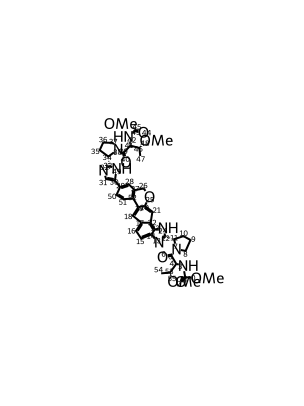 COC(=O)NC(C(=O)N1CCC[C@H]1c1nc2ccc3cc4c(cc3c2[nH]1)OCc1cc(-c2cnc([C@@H]3CCCN3C(=O)[C@@H](NC(=O)OC)[C@@H](C)OC)[nH]2)ccc1-4)[C@@H](C)OC